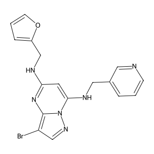 Brc1cnn2c(NCc3cccnc3)cc(NCc3ccco3)nc12